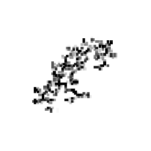 CC(C)=CCCC(C)(O[C@@H]1O[C@H](CO)[C@@H](O)[C@H](O)[C@H]1O)C1CCC2(C)C1C(O)CC1C3(C)CCC(O[C@@H]4O[C@H](CO)[C@@H](O)[C@H](O)[C@H]4O)C(C)(C)C3CCC12C